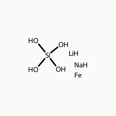 O[Si](O)(O)O.[Fe].[LiH].[NaH]